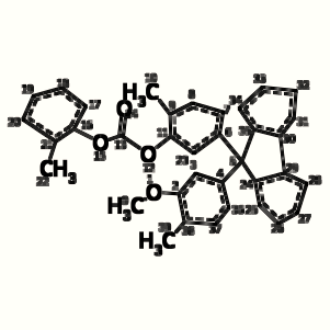 COc1cc(C2(c3ccc(C)c(OC(=O)Oc4ccccc4C)c3)c3ccccc3-c3ccccc32)ccc1C